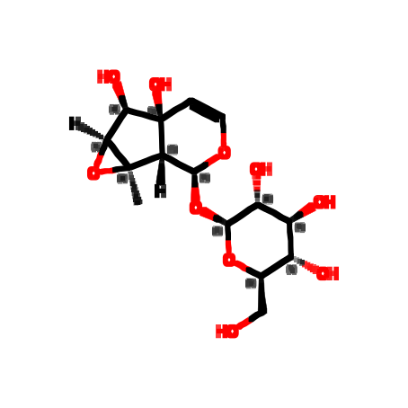 C[C@]12O[C@H]1[C@@H](O)[C@]1(O)C=CO[C@@H](O[C@@H]3O[C@H](CO)[C@@H](O)[C@H](O)[C@H]3O)[C@@H]12